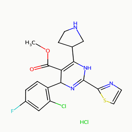 COC(=O)C1=C(C2CCNC2)NC(c2nccs2)=NC1c1ccc(F)cc1Cl.Cl